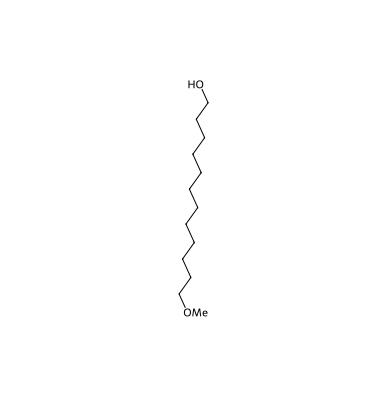 COCCCCCCCCCCCCO